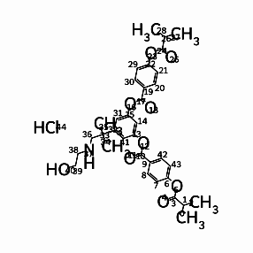 CC(C)C(=O)Oc1ccc(C(=O)Oc2cc(OC(=O)c3ccc(OC(=O)C(C)C)cc3)cc(C(C)(C)CNCCO)c2)cc1.Cl